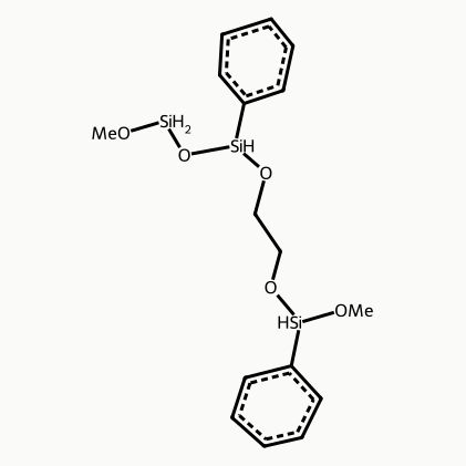 CO[SiH2]O[SiH](OCCO[SiH](OC)c1ccccc1)c1ccccc1